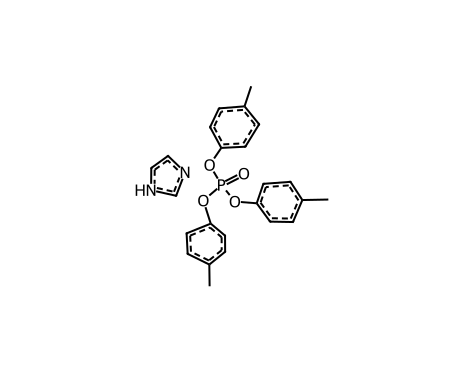 Cc1ccc(OP(=O)(Oc2ccc(C)cc2)Oc2ccc(C)cc2)cc1.c1c[nH]cn1